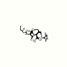 CCC(=O)CC(=O)N[C@@H]1C(=O)N2C(C(=O)O)=C(CSc3nnnn3C)CS[C@@H]12